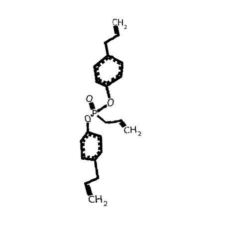 C=CCc1ccc(OP(=O)(CC=C)Oc2ccc(CC=C)cc2)cc1